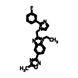 CCn1c(Cn2ccnc2-c2cccc(F)c2)nc2cc(-c3noc(C)n3)ccc21